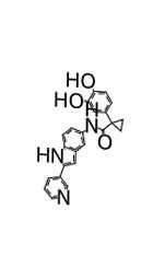 O=C(Nc1ccc2[nH]c(-c3cccnc3)cc2c1)C1(c2ccc(O)c(O)c2)CC1